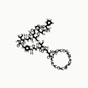 CCC(C)C(C(CC(=O)N1CCCC1C(OC)C(C)C(=O)NC(C)C(O)c1ccccc1)OC)N(C)C(=O)CNC(=O)C(C(C)C)N(C)C(=O)OCc1ccc(NC(=O)CNC(=O)C(NC(=O)CCC(N)C(=O)N2CCOCCOCCOCCOCCOCCOCCOCC2)C(C)C)cc1